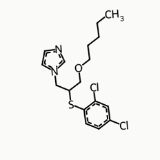 CCCCCOCC(Cn1ccnc1)Sc1ccc(Cl)cc1Cl